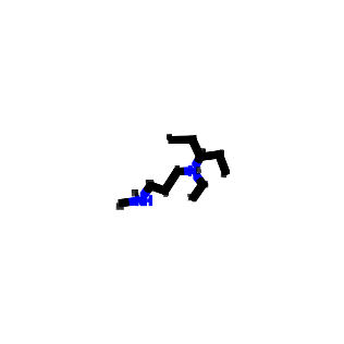 CCC(CC)N(CC)CCCNC